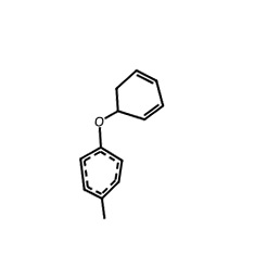 Cc1ccc(OC2C=CC=CC2)cc1